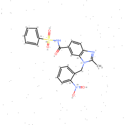 Cc1nc2ccc(C(=O)NS(=O)(=O)c3ccccc3)cc2n1Cc1ccccc1[N+](=O)[O-]